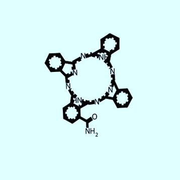 NC(=O)c1cccc2c3nc4nc(nc5[nH]c(nc6nc(nc([nH]3)c12)-c1ccccc1-6)c1ccccc51)-c1ccccc1-4